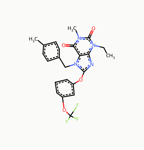 CCn1c(=O)n(C)c(=O)c2c1nc(Oc1cccc(OC(F)(F)F)c1)n2Cc1ccc(C)cc1